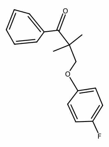 CC(C)(COc1ccc(F)cc1)C(=O)c1ccccc1